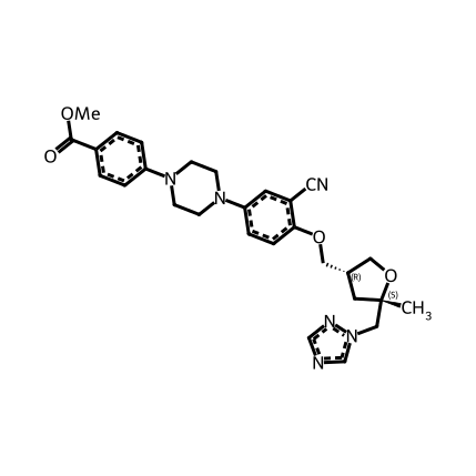 COC(=O)c1ccc(N2CCN(c3ccc(OC[C@@H]4CO[C@](C)(Cn5cncn5)C4)c(C#N)c3)CC2)cc1